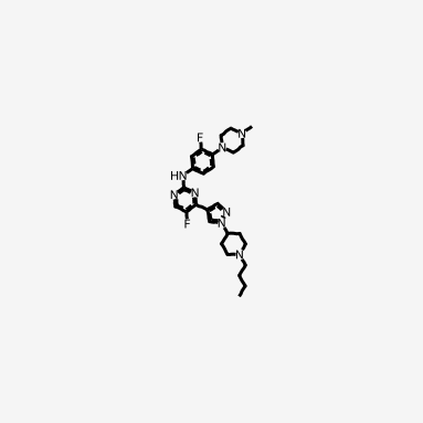 CCCCN1CCC(n2cc(-c3nc(Nc4ccc(N5CCN(C)CC5)c(F)c4)ncc3F)cn2)CC1